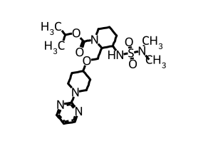 CC(C)OC(=O)N1CCCC(NS(=O)(=O)N(C)C)C1COC1CCN(c2ncccn2)CC1